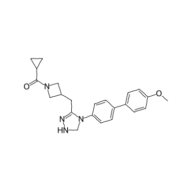 COc1ccc(-c2ccc(N3CNN=C3CC3CN(C(=O)C4CC4)C3)cc2)cc1